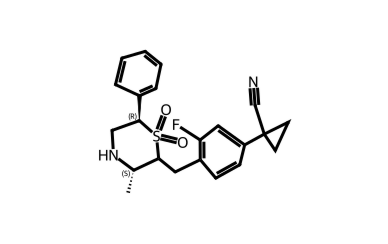 C[C@@H]1NC[C@@H](c2ccccc2)S(=O)(=O)C1Cc1ccc(C2(C#N)CC2)cc1F